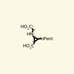 CCCCCC1C(NCC(=O)O)C1C(=O)O